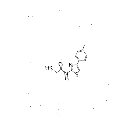 Cc1ccc(-c2csc(NC(=O)CS)n2)cc1